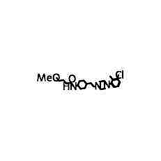 COCCCC(=O)NC1CCC(CCN2CCN(c3cccc(Cl)c3C)CC2)CC1